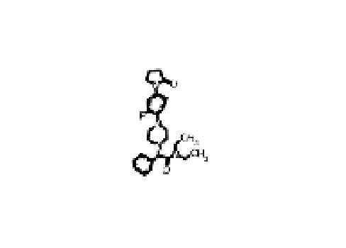 CCN(CC)C(=O)C(c1ccccc1)N1CCN(c2ccc(N3CCCC3=O)cc2F)CC1